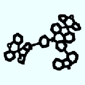 c1ccc2c(c1)Oc1ccccc1C21c2ccccc2-c2cc(-c3ccc(N(c4ccc(-c5cccc6sc7ccccc7c56)cc4)c4cccc5c4-c4ccccc4C54c5ccccc5Oc5ccccc54)cc3)ccc21